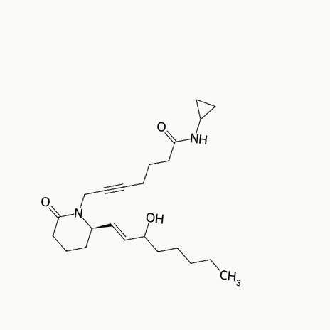 CCCCCC(O)/C=C/[C@H]1CCCC(=O)N1CC#CCCCC(=O)NC1CC1